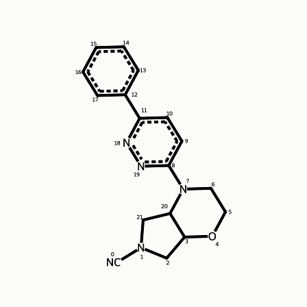 N#CN1CC2OCCN(c3ccc(-c4ccccc4)nn3)C2C1